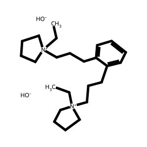 CC[N+]1(CCCc2ccccc2CCC[N+]2(CC)CCCC2)CCCC1.[OH-].[OH-]